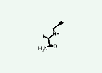 C#CCNC(I)C(N)=O